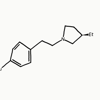 CC[C@@H]1CCN(CCc2ccc(C(C)(C)C)cc2)C1